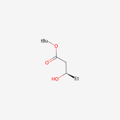 CC[C@@H](O)CC(=O)OC(C)(C)C